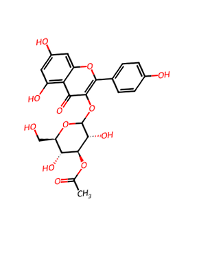 CC(=O)O[C@H]1[C@H](O)[C@@H](CO)OC(Oc2c(-c3ccc(O)cc3)oc3cc(O)cc(O)c3c2=O)[C@@H]1O